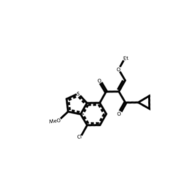 CCO/C=C(\C(=O)c1ccc(Cl)c2c(OC)csc12)C(=O)C1CC1